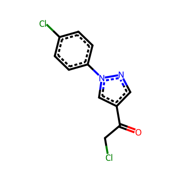 O=C(CCl)c1cnn(-c2ccc(Cl)cc2)c1